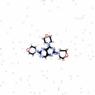 c1nc(N2CCOCC2)nc2c(N3CCOCC3)nc(N3CCOCC3)nc12